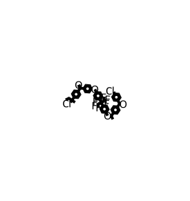 CCC(C)(Cl)c1ccc(C(=O)c2ccc(Oc3ccc(C(c4ccc(OC(C)c5ccc(C(=O)c6ccc(Cl)cc6)cc5)cc4)(C(F)(F)F)C(F)(F)F)cc3)cc2)cc1